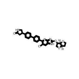 O=C1CC(c2ccc(-c3ccc(-c4nc5nc(OC6CO[C@@H]7CCO[C@H]67)[nH]c5cc4Cl)cc3)cc2)CN1